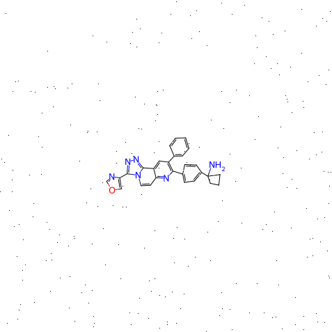 NC1(c2ccc(-c3nc4ccn5c(-c6cocn6)nnc5c4cc3-c3ccccc3)cc2)CCC1